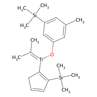 C[C](C)=[Ti]([O]c1cc(C)cc([Si](C)(C)C)c1)[C]1=C([Si](C)(C)C)C=CC1